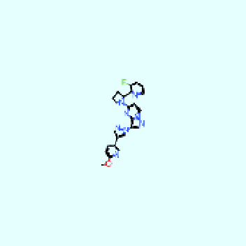 COc1ccc(-c2cnn(-c3cnn4ccc(N5CCCC5c5ncccc5F)nc34)c2)cn1